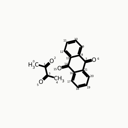 CC(=O)C(C)=O.O=C1c2ccccc2C(=O)c2ccccc21